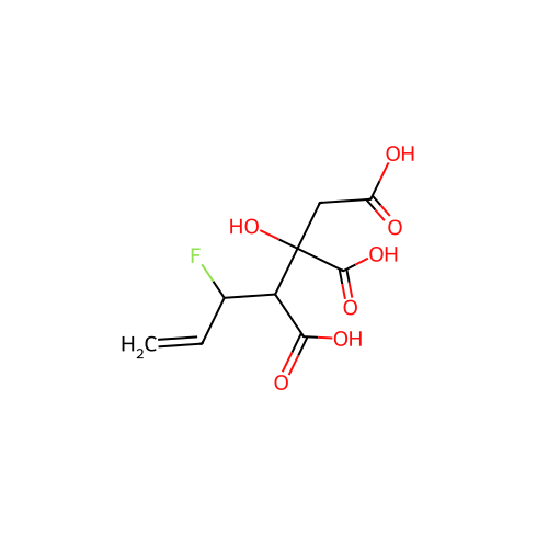 C=CC(F)C(C(=O)O)C(O)(CC(=O)O)C(=O)O